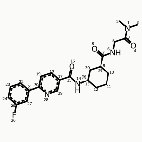 CN(C)C(=O)CNC(=O)[C@H]1CCC[C@@H](NC(=O)c2ccc(-c3cccc(F)c3)nc2)C1